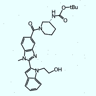 Cn1c(-c2cc3ccccc3n2CCO)nc2cc(C(=O)N3CCC[C@@H](NC(=O)OC(C)(C)C)C3)ccc21